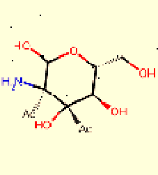 CC(=O)[C@]1(N)C(O)O[C@H](CO)[C@@H](O)[C@@]1(O)C(C)=O